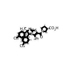 CC(C)C1=C(C(=O)N2CC[C@H](C(=O)O)C2)SC2=NC(C)(c3ccc(Cl)cc3)C(c3ccc(Cl)cc3)N21